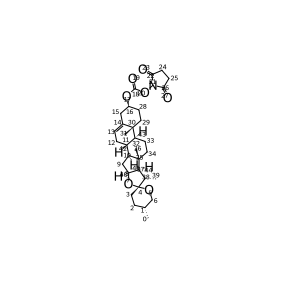 C[C@@H]1CC[C@@]2(OC1)O[C@H]1C[C@H]3[C@@H]4CC=C5C[C@@H](OC(=O)ON6C(=O)CCC6=O)CC[C@]5(C)[C@H]4CC[C@]3(C)[C@H]1[C@@H]2C